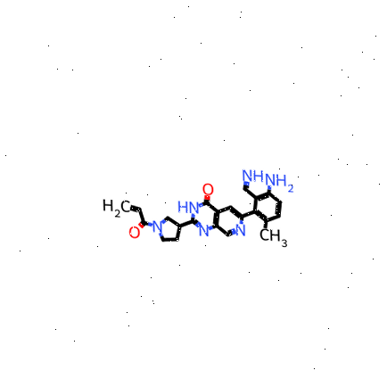 C=CC(=O)N1CCC(c2nc3cnc(-c4c(C)ccc(N)c4C=N)cc3c(=O)[nH]2)C1